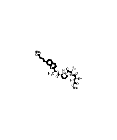 CC(C)[C@H](NC(=O)OC(C)(C)C)C(=O)N[C@@H](C)C(=O)N1CCC[C@@H](C(=O)O[C@H](C)c2ccc3ccc(/C=C/CC(=O)OC(C)(C)C)cc3n2)N1